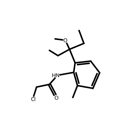 CCC(CC)(OC)c1cccc(C)c1NC(=O)CCl